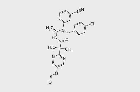 C[C@H](NC(=O)C(C)(C)c1ncc(OC=O)cn1)[C@@H](Cc1ccc(Cl)cc1)c1cccc(C#N)c1